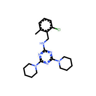 Cc1cccc(Cl)c1CNc1nc(N2CCCCC2)nc(N2CCCCC2)n1